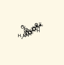 COCCOc1nc(N)nc2ccc(-c3ccc(C(=O)NC4CC4)cc3)nc12